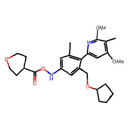 COc1cc(-c2c(C)cc(NOC(=O)C3CCOCC3)cc2COC2CCCC2)nc(OC)c1C